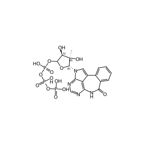 C[C@@]1(O)[C@H](O)C(OP(=O)(O)OP(=O)(O)OP(=O)(O)O)O[C@H]1n1cc2c3c(ncnc31)NC(=O)c1ccccc1-2